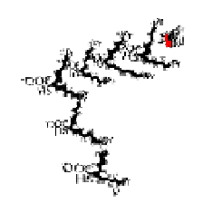 CC(C)CCCCCC(S)(CCCCCC(C)C)C(=O)[O-].CC(C)CCCCCC(S)(CCCCCC(C)C)C(=O)[O-].CC(C)CCCCCC(S)(CCCCCC(C)C)C(=O)[O-].CC(C)CCCCCC(S)(CCCCCC(C)C)C(=O)[O-].CC(C)CCCCCC(S)(CCCCCC(C)C)C(=O)[O-].CC(C)CCCCCC(S)(CCCCCC(C)C)C(=O)[O-].CCC[CH2][Sn+2].CCC[CH2][Sn+2].[S-2].[S-2].[S-2]